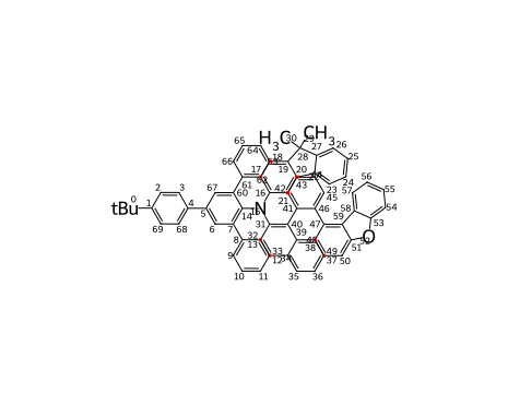 CC(C)(C)c1ccc(-c2cc(-c3ccccc3)c(N(c3ccc4c(c3)-c3ccccc3C4(C)C)c3ccc4ccccc4c3-c3ccccc3-c3cccc4oc5ccccc5c34)c(-c3ccccc3)c2)cc1